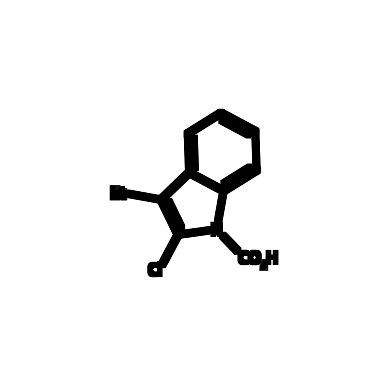 CCc1c(Cl)n(C(=O)O)c2ccccc12